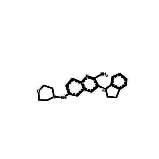 Nc1nc2ccc(NN3CCOCC3)cc2cc1[C@@H]1CCc2ccccc21